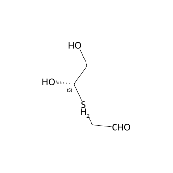 O=CC[SH2][C@H](O)CO